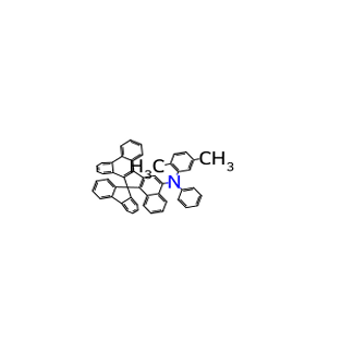 Cc1ccc(C)c(N(c2ccccc2)c2cc3c(c4ccccc24)C2(c4ccccc4-c4ccccc42)c2c-3c3ccccc3c3ccccc23)c1